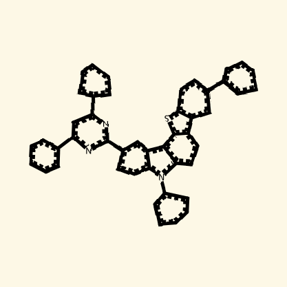 c1ccc(-c2ccc3sc4c(ccc5c4c4cc(-c6nc(-c7ccccc7)cc(-c7ccccc7)n6)ccc4n5-c4ccccc4)c3c2)cc1